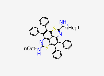 CCCCCCCCNC1=Nc2c(-c3ccccc3)c(-c3ccccc3)c3c4c(c(-c5ccccc5)c(-c5ccccc5)c(c24)S1)N=C(C(N)CCCCCCC)S3